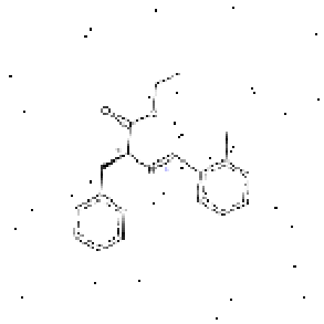 CCOC(=O)[C@H](Cc1ccccc1)/N=C/c1ccccc1C